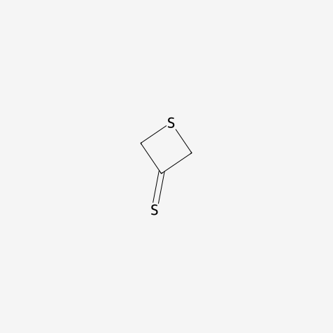 S=C1CSC1